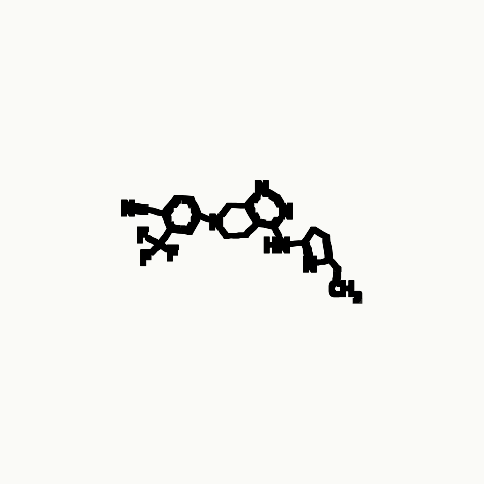 C=CC1=CCC(Nc2ncnc3c2CCN(c2ccc(C#N)c(C(F)(F)F)c2)C3)=N1